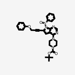 CC(C)(C)OC(=O)N1CCN(c2ncnc3c2cc(C#CCOc2ccccc2)n3[S+]([O-])c2ccccc2)CC1